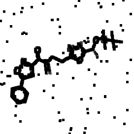 C[C@@H](O[Si](C)(C)C(C)(C)C)c1nnc(CCNC(=O)c2cc(-c3ccccc3)on2)o1